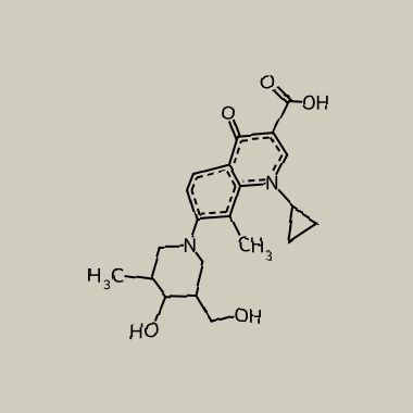 Cc1c(N2CC(C)C(O)C(CO)C2)ccc2c(=O)c(C(=O)O)cn(C3CC3)c12